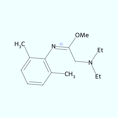 CCN(CC)C/C(=N\c1c(C)cccc1C)OC